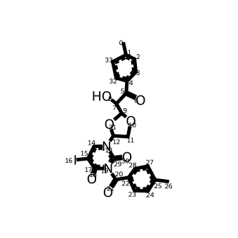 Cc1ccc(C(=O)C(O)C2OCC(n3cc(I)c(=O)n(C(=O)c4ccc(C)cc4)c3=O)O2)cc1